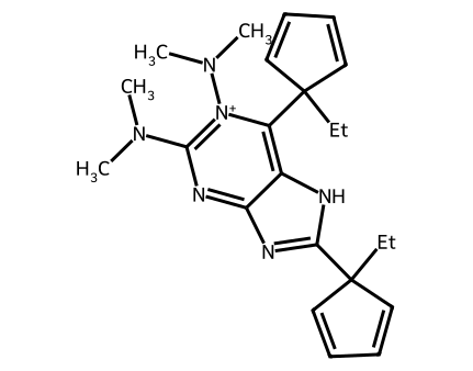 CCC1(c2nc3nc(N(C)C)[n+](N(C)C)c(C4(CC)C=CC=C4)c3[nH]2)C=CC=C1